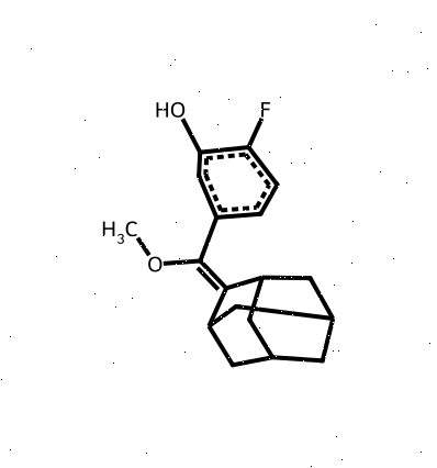 COC(=C1C2CC3CC(C2)CC1C3)c1ccc(F)c(O)c1